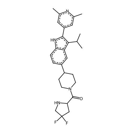 Cc1cc(-c2[nH]c3ccc(C4CCN(C(=O)C5CC(F)(F)CN5)CC4)cc3c2C(C)C)cc(C)n1